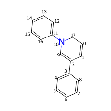 C1=CC(c2ccccc2)=CN(c2ccccc2)C1